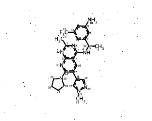 Cc1nc(N[C@H](C)c2cc(N)cc(C(F)(F)F)c2)c2cc(-c3cnn(C)c3)c(N3CCCC3)nc2n1